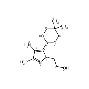 Cc1nn(CCO)c(B2OCC(C)(C)CO2)c1N